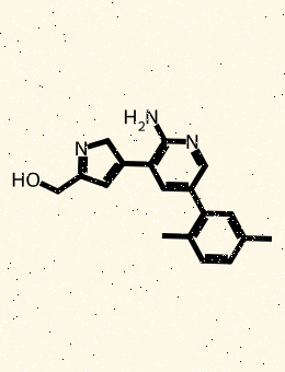 Cc1ccc(C)c(-c2cnc(N)c(C3=CC(CO)=NC3)c2)c1